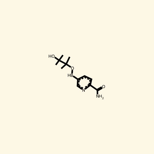 CC(C)(O)C(C)(C)OBc1ccc(C(N)=O)nc1